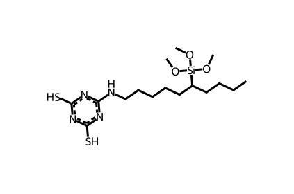 CCCCC(CCCCCNc1nc(S)nc(S)n1)[Si](OC)(OC)OC